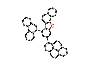 c1ccc2c(c1)cc(-c1cc(-c3ccc4ccc5cccc6ccc3c4c56)cc3oc4c5ccccc5ccc4c13)c1ccccc12